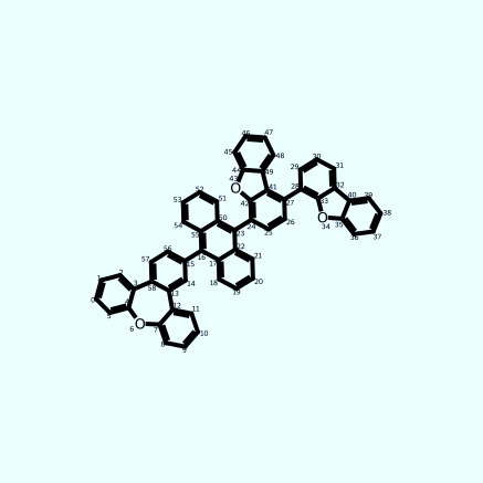 c1ccc2c(c1)Oc1ccccc1-c1cc(-c3c4ccccc4c(-c4ccc(-c5cccc6c5oc5ccccc56)c5c4oc4ccccc45)c4ccccc34)ccc1-2